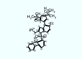 CCc1ccc2c(c1-c1cc([Si](C)(C)C)cc([Si](C)(C)C)c1)C=C(CC(C)C)[CH]2[Zr]([Cl])([Cl])[c]1cccc2c1[SiH2]c1ccccc1-2